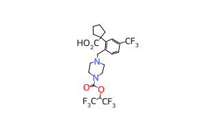 O=C(OC(C(F)(F)F)C(F)(F)F)N1CCN(Cc2ccc(C(F)(F)F)cc2C2(C(=O)O)CCCC2)CC1